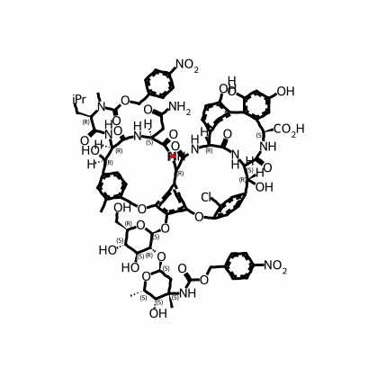 Cc1cc2ccc1Oc1cc3cc(c1O[C@@H]1O[C@H](CO)[C@@H](O)[C@H](O)[C@H]1O[C@H]1C[C@](C)(NC(=O)OCc4ccc([N+](=O)[O-])cc4)[C@H](O)[C@H](C)O1)Oc1ccc(cc1Cl)[C@@H](O)[C@@H]1NC(=O)[C@H](NC(=O)[C@@H]3NC(=O)[C@H](CC(N)=O)NC(=O)[C@H](NC(=O)[C@@H](CC(C)C)N(C)C(=O)OCc3ccc([N+](=O)[O-])cc3)[C@@H]2O)c2ccc(O)c(c2)-c2c(O)cc(O)cc2[C@@H](C(=O)O)NC1=O